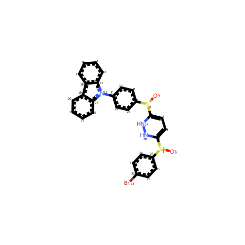 [O-][S+](C1=CC=C([S+]([O-])c2ccc(-n3c4ccccc4c4ccccc43)cc2)NN1)c1ccc(Br)cc1